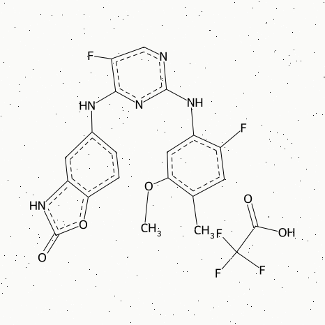 COc1cc(Nc2ncc(F)c(Nc3ccc4oc(=O)[nH]c4c3)n2)c(F)cc1C.O=C(O)C(F)(F)F